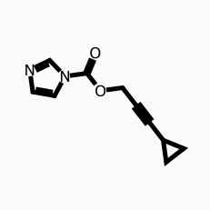 O=C(OCC#CC1CC1)n1ccnc1